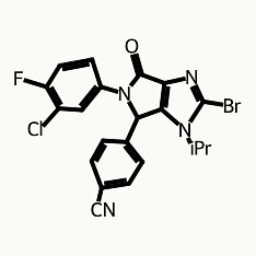 CC(C)n1c(Br)nc2c1C(c1ccc(C#N)cc1)N(c1ccc(F)c(Cl)c1)C2=O